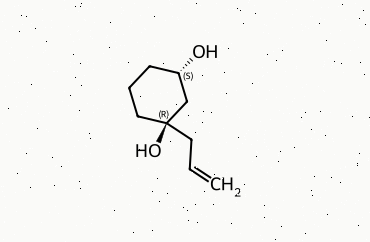 C=CC[C@]1(O)CCC[C@H](O)C1